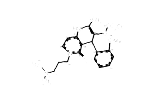 CCOC(=O)OC1=C(C)Nc2ccn(CCCN(C)C)c(=O)c2C1c1ccccc1OC